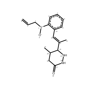 C=CC[S+]([O-])c1ccccc1/C=C(\C)C1NNC(=O)CC1C